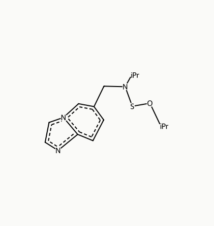 CC(C)OSN(Cc1ccc2nccn2c1)C(C)C